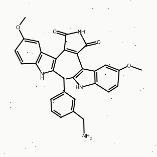 COc1ccc2[nH]c(C)c(C3=C(c4c(Cc5cccc(CN)c5)[nH]c5ccc(OC)cc45)C(=O)NC3=O)c2c1